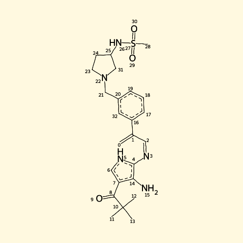 C=C(/C=N\c1[nH]cc(C(=O)C(C)(C)C)c1N)c1cccc(CN2CCC(NS(C)(=O)=O)C2)c1